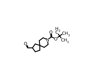 CC(C)(C)OC(=O)N1CCC2(CCC(C=O)C2)CC1